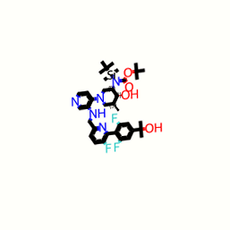 C[C@H]1CN(c2ccncc2NCc2ccc(F)c(-c3c(F)cc(C(C)(C)O)cc3F)n2)C[C@@H](N(C(=O)OC(C)(C)C)[Si](C)(C)C(C)(C)C)[C@@H]1O